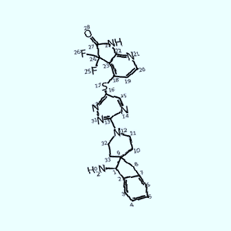 N[C@@H]1c2ccccc2CC12CCN(c1ncc(Sc3ccnc4c3C(F)(F)C(=O)N4)nn1)CC2